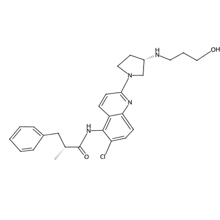 C[C@H](Cc1ccccc1)C(=O)Nc1c(Cl)ccc2nc(N3CC[C@H](NCCCO)C3)ccc12